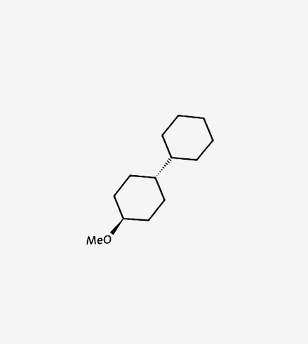 CO[C@H]1CC[C@H](C2CCCCC2)CC1